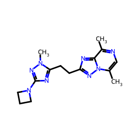 Cc1ncc(C)n2nc(CCc3nc(N4CCC4)nn3C)nc12